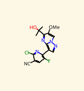 COc1cn2ncc(-c3nc(Cl)c(C#N)cc3F)c2nc1C(C)(C)O